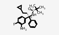 CC(C)(C)[S+]([O-])N[C@@](CCC1CC1)(c1ccccc1)c1ccc(F)c(N)c1